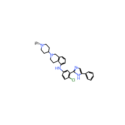 CC(C)N1CCC(N2CCc3c(cccc3Nc3ccc(Cl)c(-c4ncc(-c5ccccc5)[nH]4)c3)C2)CC1